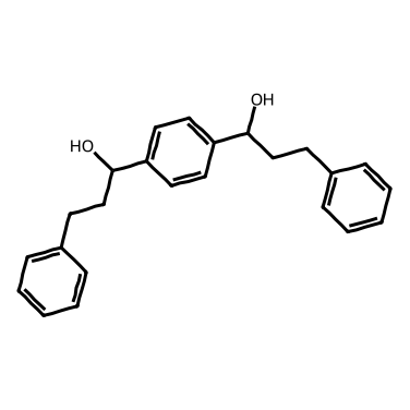 OC(CCc1ccccc1)c1ccc(C(O)CCc2ccccc2)cc1